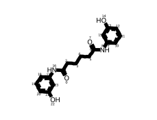 O=C(CCCCC(=O)Nc1cccc(O)c1)Nc1cccc(O)c1